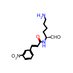 NCCCC[C@@H]([C]=O)NC(=O)/C=C/c1cccc([N+](=O)[O-])c1